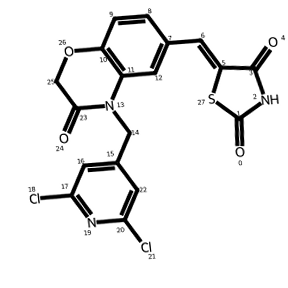 O=C1NC(=O)C(=Cc2ccc3c(c2)N(Cc2cc(Cl)nc(Cl)c2)C(=O)CO3)S1